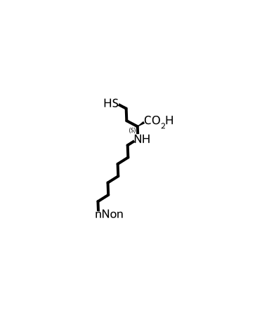 CCCCCCCCCCCCCCCCN[C@@H](CCS)C(=O)O